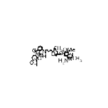 COc1cc2nc(C)nc(N)c2cc1OCC1(CN(C)C(=O)CCCNc2cccc3c2C(=O)N(C2CCC(=O)NC2=O)C3=O)CC1